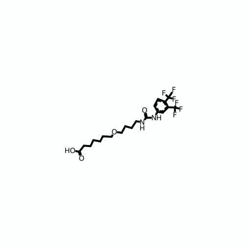 O=C(O)CCCCCCOCCCCNC(=O)Nc1ccc(C(F)(F)F)c(C(F)(F)F)c1